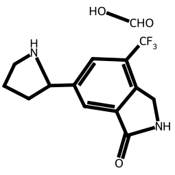 O=C1NCc2c1cc(C1CCCN1)cc2C(F)(F)F.O=CO